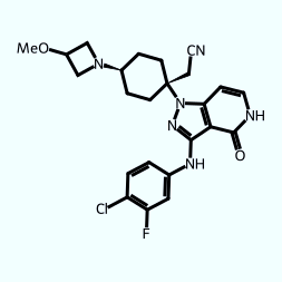 COC1CN([C@H]2CC[C@](CC#N)(n3nc(Nc4ccc(Cl)c(F)c4)c4c(=O)[nH]ccc43)CC2)C1